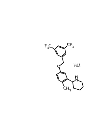 Cc1ccc(OCc2cc(C(F)(F)F)cc(C(F)(F)F)c2)cc1C1CCCCN1.Cl